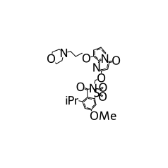 COc1cc(C(C)C)c2c(c1)S(=O)(=O)N(COc1cc(=O)n3cccc(OCCCN4CCOCC4)c3n1)C2=O